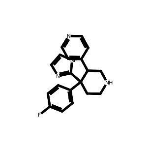 Fc1ccc(C2(c3ncc[nH]3)CCNCC2c2ccncc2)cc1